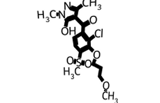 COCCCOc1c(S(C)(=O)=O)ccc(C(=O)c2c(C)nn(C)c2O)c1Cl